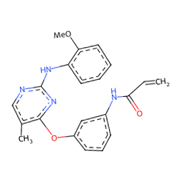 C=CC(=O)Nc1cccc(Oc2nc(Nc3ccccc3OC)ncc2C)c1